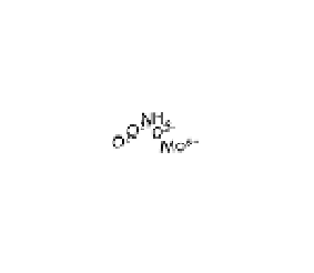 N.[Mo+6].[O-2].[O-2].[O-2]